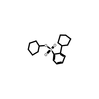 O=S(=O)(OC1CCCCC1)c1ccccc1C1CCCCC1